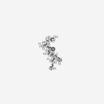 C[C@@H](O)[C@H](NC(=O)CNC(=O)[C@H](Cc1nn[nH]n1)NC(=O)C(C)(C)C(=O)NCCc1cnc[nH]1)C(=O)N[C@@](C)(Cc1ccccc1F)C(=O)N[C@H](C(=O)N[C@@H](CO)C(=O)NC(C=O)CC(=O)O)[C@@H](C)O